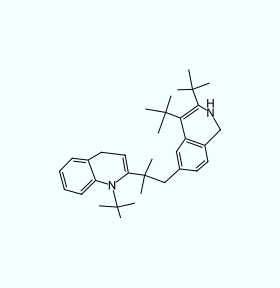 CC(C)(C)C1=C(C(C)(C)C)c2cc(CC(C)(C)C3=CCc4ccccc4N3C(C)(C)C)ccc2CN1